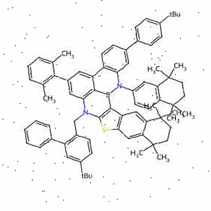 Cc1cccc(C)c1-c1cc2c3c(c1)N(Cc1ccc(C(C)(C)C)cc1-c1ccccc1)c1sc4cc5c(cc4c1B3N(c1ccc3c(c1)C(C)(C)CCC3(C)C)c1cc(-c3ccc(C(C)(C)C)cc3)ccc1-2)C(C)(C)CCC5(C)C